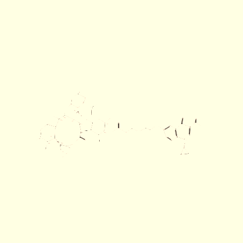 CC[C@H]1OC(=O)[C@H](C)[C@@H](OC2C[C@H](C)[C@@H](OC(=O)CCOCCOc3ccc4c(c3)c(=O)c(C(=O)O)cn4C3CC3)[C@H](C)O2)[C@H](C)[C@@H](OC2O[C@H](C)C[C@H](N(C)C)[C@H]2O)[C@](C)(O)C2O[C@H]([C@@H](C)N(C)C[C@@H]2C)[C@]1(C)O